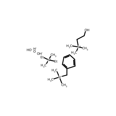 CC[N+](C)(C)CC.C[N+](C)(C)CCO.C[N+](C)(C)Cc1ccccc1.[OH-].[OH-].[OH-]